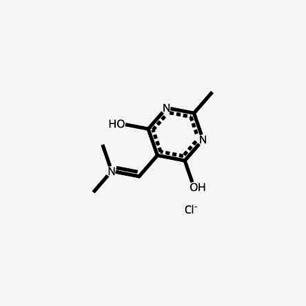 Cc1nc(O)c(C=[N+](C)C)c(O)n1.[Cl-]